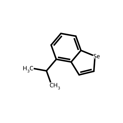 CC(C)c1cccc2[se]ccc12